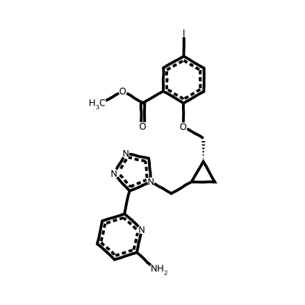 COC(=O)c1cc(I)ccc1OC[C@@H]1CC1Cn1cnnc1-c1cccc(N)n1